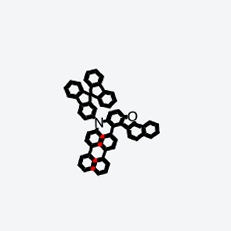 c1ccc(-c2ccc(-c3c(N(c4ccc(-c5ccccc5)cc4)c4ccc5c(c4)C4(c6ccccc6-c6ccccc64)c4ccccc4-5)ccc4oc5c6ccccc6ccc5c34)cc2)cc1